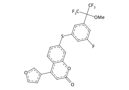 COC(c1cc(F)cc(Sc2ccc3c(-c4ccoc4)cc(=O)oc3c2)c1)(C(F)(F)F)C(F)(F)F